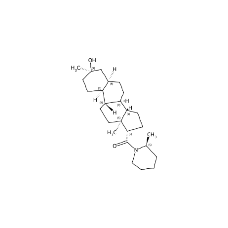 C[C@H]1CCCCN1C(=O)[C@H]1CC[C@H]2[C@@H]3CC[C@@H]4C[C@](C)(O)CC[C@@H]4[C@H]3CC[C@]12C